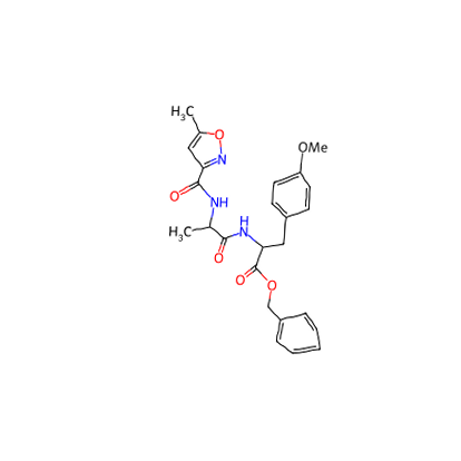 COc1ccc(CC(NC(=O)C(C)NC(=O)c2cc(C)on2)C(=O)OCc2ccccc2)cc1